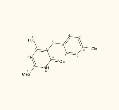 CSc1nc(C)c(Cc2ccc(Cl)cc2)c(=O)[nH]1